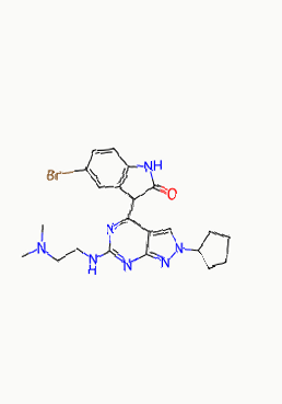 CN(C)CCNc1nc(C2C(=O)Nc3ccc(Br)cc32)c2cn(C3CCCC3)nc2n1